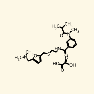 CC(C)C(=O)N(C)c1cccc(C(=O)NCCSCc2ccc(CN(C)C)o2)c1.O=C(O)C(=O)O